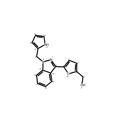 OCc1ccc(-c2nn(Cc3ccc[nH]3)c3ccccc23)o1